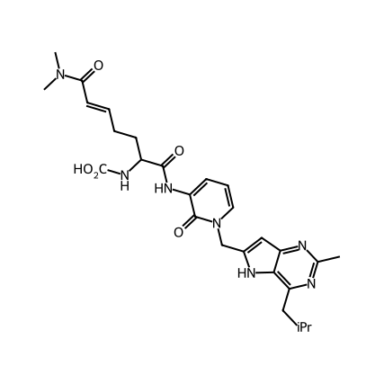 Cc1nc(CC(C)C)c2[nH]c(Cn3cccc(NC(=O)C(CCC=CC(=O)N(C)C)NC(=O)O)c3=O)cc2n1